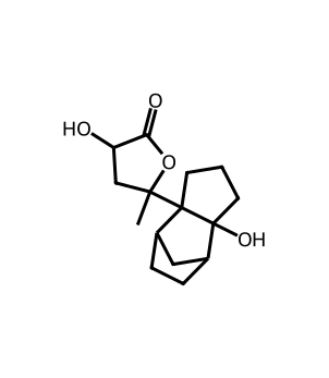 CC1(C23CCCC2(O)C2CCC3C2)CC(O)C(=O)O1